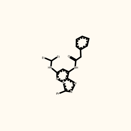 CCC(CC)Nc1cc(NC(=O)Cc2ccccc2)c2nnc(C(C)C)n2n1